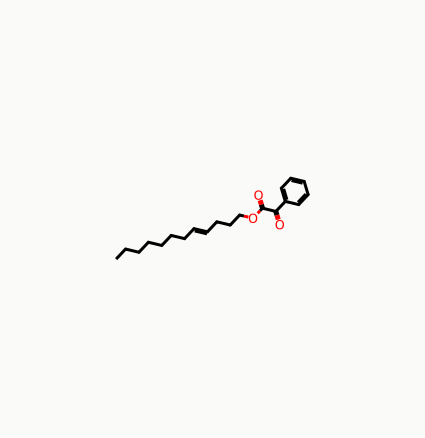 CCCCCCCC=CCCCOC(=O)C(=O)c1ccccc1